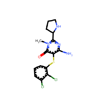 Cn1c(C2CCCN2)nc(N)c(Sc2cccc(Cl)c2Cl)c1=O